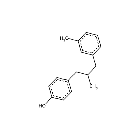 Cc1cccc(CC(C)Cc2ccc(O)cc2)c1